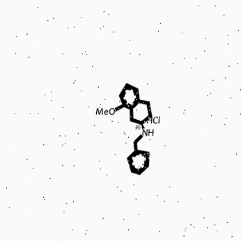 COc1cccc2c1C[C@H](NCc1ccccc1)CC2.Cl